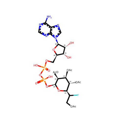 CC(=O)OCC(F)[C@H]1O[C@@H](OP(=O)(O)OP(=O)(O)OC[C@H]2O[C@@H](n3cnc4c(N)ncnc43)[C@H](O)[C@@H]2O)[C@@H](OC(C)=O)[C@@H](OC(C)=O)[C@@H]1OC(C)=O